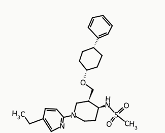 CCc1ccc(N2CC[C@H](NS(C)(=O)=O)[C@H](CO[C@H]3CC[C@@H](c4ccccc4)CC3)C2)nc1